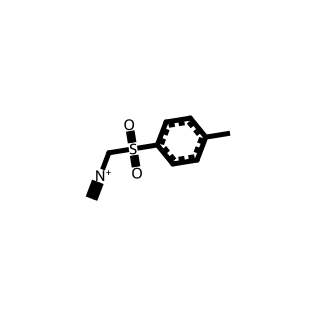 C#[N+]CS(=O)(=O)c1ccc(C)cc1